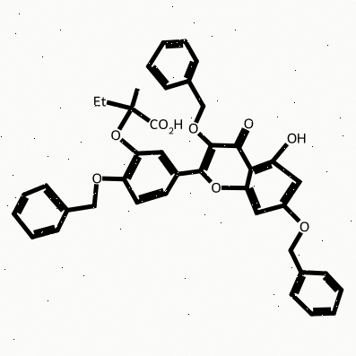 CCC(C)(Oc1cc(-c2oc3cc(OCc4ccccc4)cc(O)c3c(=O)c2OCc2ccccc2)ccc1OCc1ccccc1)C(=O)O